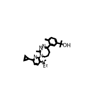 CCN(C)c1ccc(C2CC2)nc1N1CCC/C(C2=CC(C(C)(C)O)=CCC2C)=N\N=C/1C